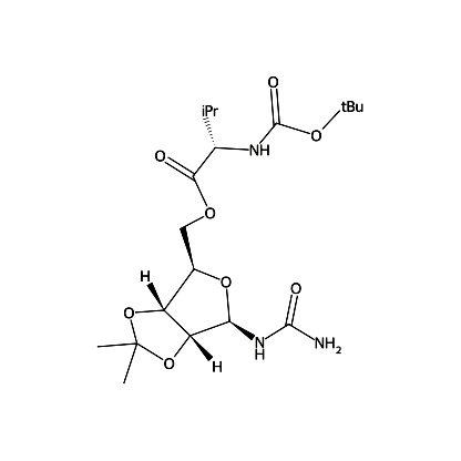 CC(C)[C@H](NC(=O)OC(C)(C)C)C(=O)OC[C@H]1O[C@@H](NC(N)=O)[C@@H]2OC(C)(C)O[C@@H]21